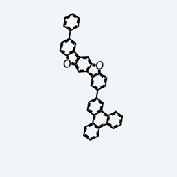 c1ccc(-c2ccc3oc4cc5c(cc4c3c2)oc2ccc(-c3ccc4c6ccccc6c6ccccc6c4c3)cc25)cc1